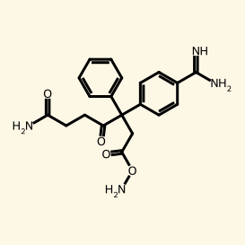 N=C(N)c1ccc(C(CC(=O)ON)(C(=O)CCC(N)=O)c2ccccc2)cc1